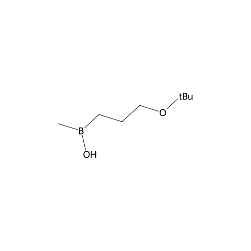 CB(O)CCCOC(C)(C)C